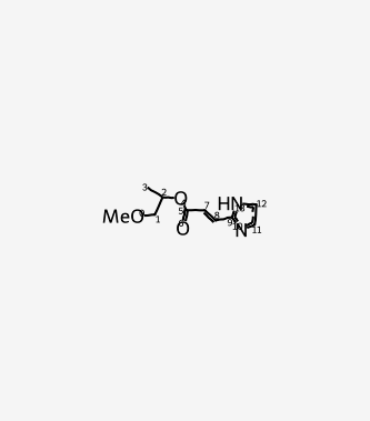 COCC(C)OC(=O)/C=C/c1ncc[nH]1